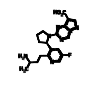 CC(N)CCc1ncc(F)cc1[C@H]1CCCN1c1ncn2ncc(C(=O)O)c2n1